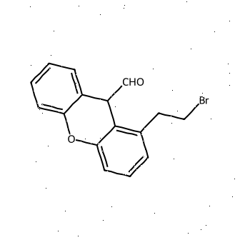 O=CC1c2ccccc2Oc2cccc(CCBr)c21